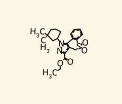 CCOC(=O)c1nn(C2CCCC(C)(C)C2)c2c1CS(=O)(=O)c1ccccc1-2